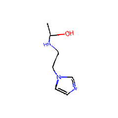 CC(O)NCCn1ccnc1